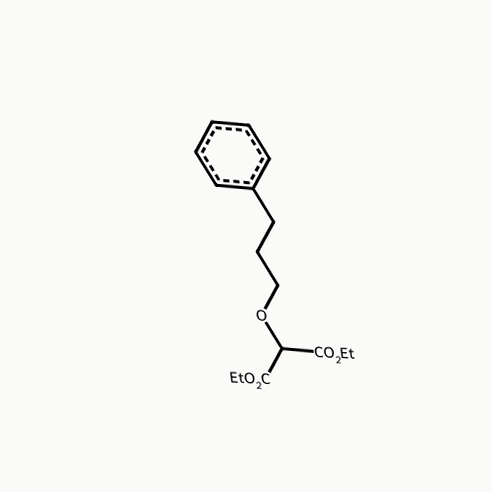 CCOC(=O)C(OCCCc1ccccc1)C(=O)OCC